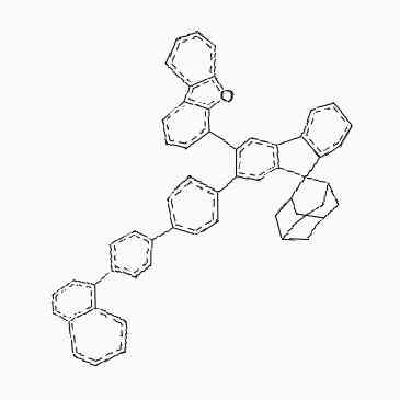 c1ccc2c(c1)-c1cc(-c3cccc4c3oc3ccccc34)c(-c3ccc(-c4ccc(-c5cccc6ccccc56)cc4)cc3)cc1C21C2CC3CC(C2)CC1C3